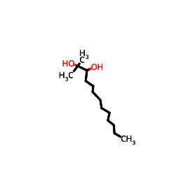 CCCCCCCCCCC(O)C(C)(C)O